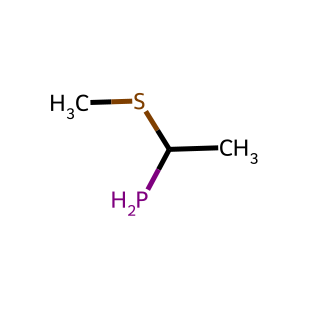 CSC(C)P